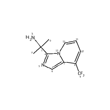 CC(C)(N)c1ncc2c(C(F)(F)F)cccn12